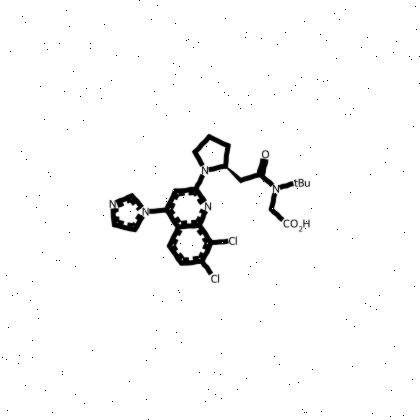 CC(C)(C)N(CC(=O)O)C(=O)C[C@@H]1CCCN1c1cc(-n2ccnc2)c2ccc(Cl)c(Cl)c2n1